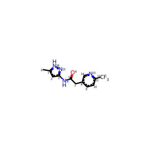 Cc1cc(NC(=O)Cc2ccc(C(F)(F)F)nc2)n[nH]1